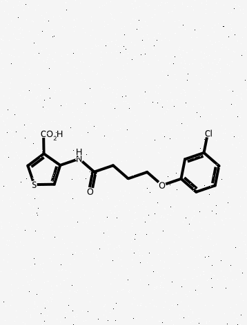 O=C(CCCOc1cccc(Cl)c1)Nc1cscc1C(=O)O